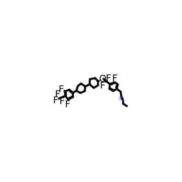 CC/C=C/Cc1ccc(C(F)(F)OC2CCC(C3CCC(c4cc(F)c(C(F)(F)F)c(F)c4)CC3)CC2)c(F)c1